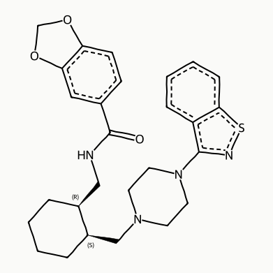 O=C(NC[C@@H]1CCCC[C@@H]1CN1CCN(c2nsc3ccccc23)CC1)c1ccc2c(c1)OCO2